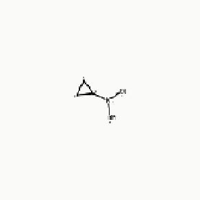 C[CH]CN(CC)C1CC1